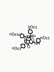 CCCCCCCCC1CCC(NC(=O)CC(C(=O)NC2CCC(CCCCCCCC)CC2)C(CC(=O)NC2CCC(CCCCCCCC)CC2)C(=O)NC2CCC(CCCCCCCC)CC2)CC1